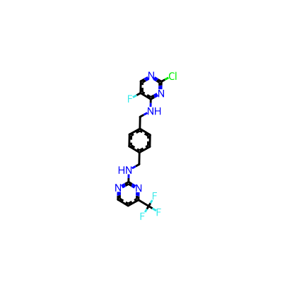 Fc1cnc(Cl)nc1NCc1ccc(CNc2nccc(C(F)(F)F)n2)cc1